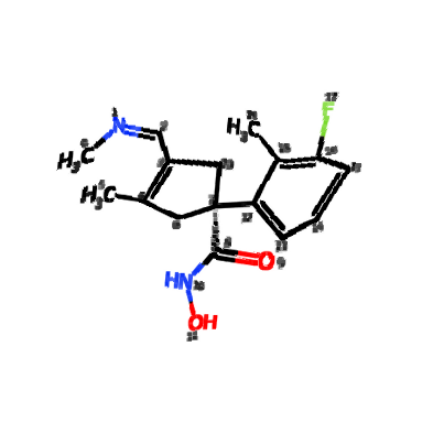 C/N=C\C1=C(C)C[C@](C(=O)NO)(c2cccc(F)c2C)C1